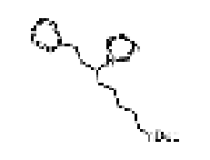 CCCCCCCCCCCCCCCC(CCc1ccccc1)n1ccnc1